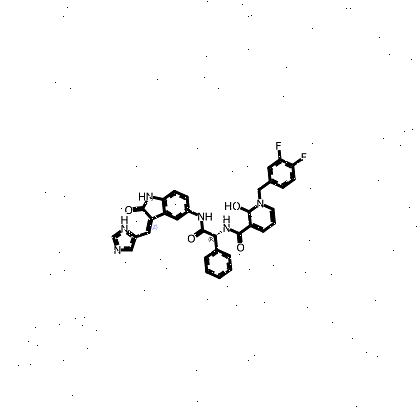 O=C(N[C@@H](C(=O)Nc1ccc2c(c1)/C(=C/c1cnc[nH]1)C(=O)N2)c1ccccc1)C1=CC=CN(Cc2ccc(F)c(F)c2)C1O